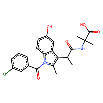 Cc1c(C(C)C(=O)NC(C)(C)C(=O)O)c2cc(O)ccc2n1C(=O)c1cccc(Cl)c1